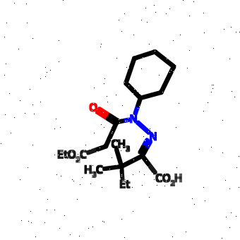 CCOC(=O)CC(=O)N(N=C(C(=O)O)C(C)(C)CC)C1CCCCC1